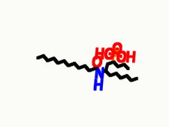 CCCCCCCCCCCC(=O)NC(CCCCCC)CC(CCC)P(=O)(O)O